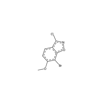 COc1ccc2c(Cl)noc2c1Br